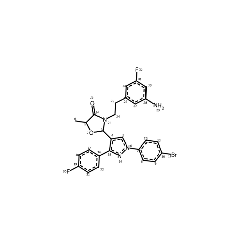 CC1OC(c2cn(-c3ccc(Br)cc3)nc2-c2ccc(F)cc2)N(CCc2cc(N)cc(F)c2)C1=O